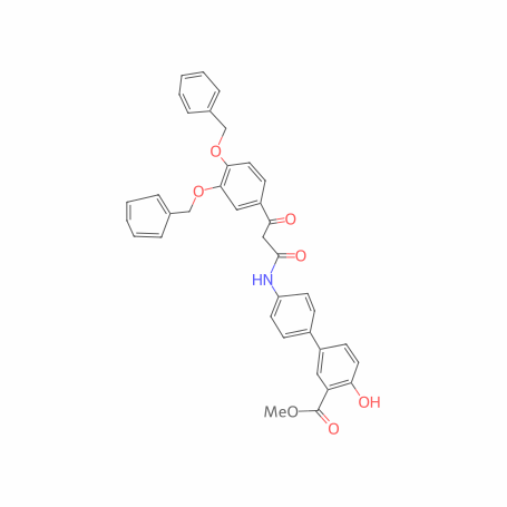 COC(=O)c1cc(-c2ccc(NC(=O)CC(=O)c3ccc(OCc4ccccc4)c(OCc4ccccc4)c3)cc2)ccc1O